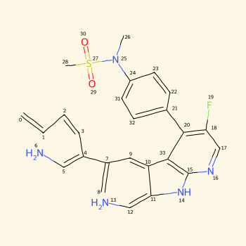 C=C/C=C\C(=C/N)C(=C)/C=c1\c(=C/N)[nH]c2ncc(F)c(-c3ccc(N(C)S(C)(=O)=O)cc3)c12